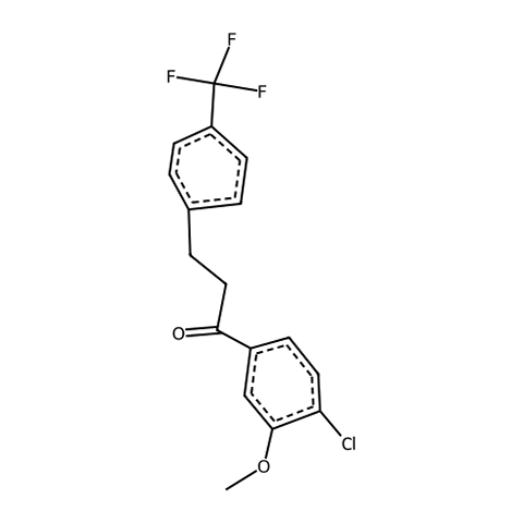 COc1cc(C(=O)CCc2ccc(C(F)(F)F)cc2)ccc1Cl